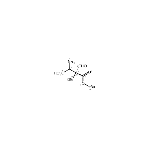 CC(C)(C)OC(=O)[C@](C=O)(C(N)C(=O)O)C(C)(C)C